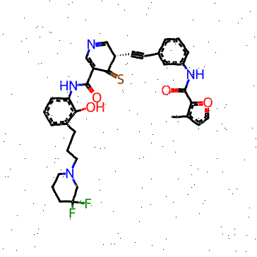 Cc1ccoc1C(=O)Nc1cccc(C#C[C@H]2C=NC=C(C(=O)Nc3cccc(CCCN4CCCC(F)(F)C4)c3O)C2=S)c1